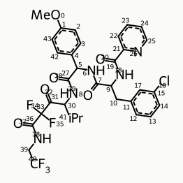 COc1ccc(C(NC(=O)C(Cc2cccc(Cl)c2)NC(=O)c2ccccn2)C(=O)NC(C(=O)C(F)(F)C(=O)NCC(F)(F)F)C(C)C)cc1